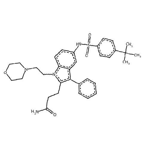 CC(C)(C)c1ccc(S(=O)(=O)Nc2ccc3c(c2)c(-c2ccccc2)c(CCC(N)=O)n3CCN2CCOCC2)cc1